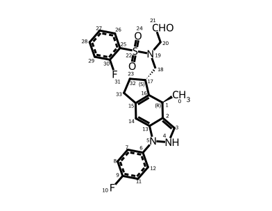 C[C@H]1C2=CNN(c3ccc(F)cc3)C2=CC2=C1[C@@H](CN(CC=O)S(=O)(=O)c1ccccc1F)CC2